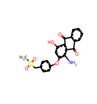 CS(=O)(=O)Cc1ccc(Oc2cc(O)c3c(c2N)C(=O)c2ccccc2C3=O)cc1